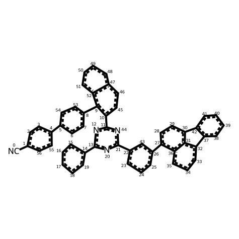 N#Cc1ccc(-c2ccc(-c3c(-c4nc(-c5ccccc5)nc(-c5cccc(-c6ccc7c8c(cccc68)-c6ccccc6-7)c5)n4)ccc4ccccc34)cc2)cc1